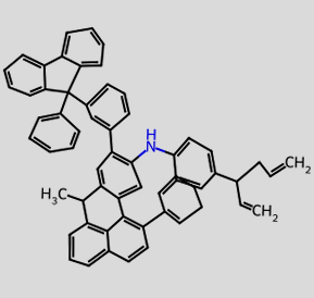 C=CCC(C=C)c1ccc(Nc2cc3c(cc2-c2cccc(C4(c5ccccc5)c5ccccc5-c5ccccc54)c2)C(C)c2cccc4ccc(C5=CCCC=C5)c-3c24)cc1